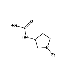 CCN1CCC(NC([NH])=O)C1